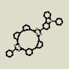 c1ccc(-c2nc3nc(n2)c2cccc(c2)c2cccc(c2)c2nc(-c4ccc5c(c4)c4ccccc4n5-c4ccccc4)nc(n2)c2cccc(c2)c2cccc3c2)cc1